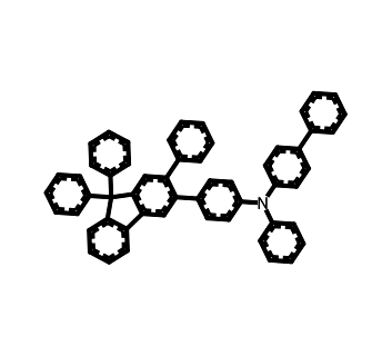 c1ccc(-c2ccc(N(c3ccccc3)c3ccc(-c4cc5c(cc4-c4ccccc4)C(c4ccccc4)(c4ccccc4)c4ccccc4-5)cc3)cc2)cc1